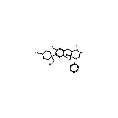 C[C@@H]1NC[C@H](c2ccccc2)S(=O)(=O)C1Cc1cc(F)c(C2(CO)CCC(O)CC2)cc1F